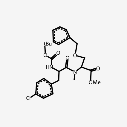 COC(=O)C(COCc1ccccc1)N(C)C(=O)C(Cc1ccc(Cl)cc1)NC(=O)OC(C)(C)C